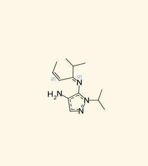 C/C=C\C(=N/c1c(N)cnn1C(C)C)C(C)C